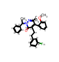 COc1ccccc1-c1c(C)nn(C(C)c2ccccc2)c(=O)c1CCc1cccc(F)c1